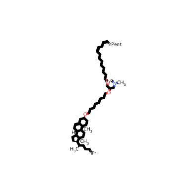 CCCCC/C=C\C/C=C\CCCCCCCCOCC(CN(C)C)OCCCCCCCCO[C@H]1CC[C@@]2(C)C(=CC[C@@H]3C2CC[C@@]2(C)C3CC[C@@H]2[C@H](C)CCCC(C)C)C1